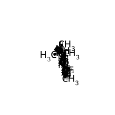 CC[C@]12CC[C@](CC)(C[C@@H](N(C)c3nc4cnc(-c5cc(F)c6nc(C)cn6c5)nc4s3)C1)N2